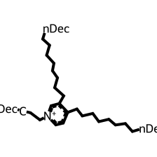 CCCCCCCCCCCCCCCCCCc1cc[n+](CCCCCCCCCCCCC)cc1CCCCCCCCCCCCCCCCCC